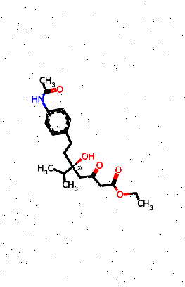 CCOC(=O)CC(=O)C[C@@](O)(CCc1ccc(NC(C)=O)cc1)C(C)C